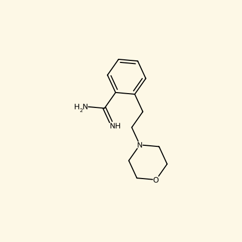 N=C(N)c1ccccc1CCN1CCOCC1